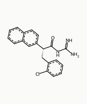 N=C(N)NC(=O)[C@H](Cc1ccccc1Cl)c1ccc2ccccc2c1